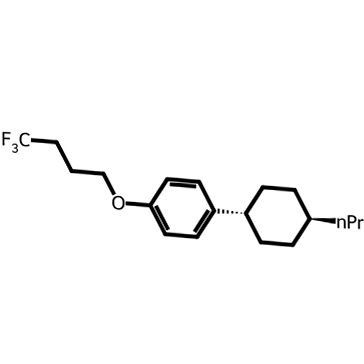 CCC[C@H]1CC[C@H](c2ccc(OCCCC(F)(F)F)cc2)CC1